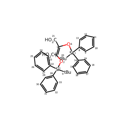 CC(C)(C)[Si](OC(C(=O)O)=C(O[Si](c1ccccc1)(c1ccccc1)C(C)(C)C)C(=O)O)(c1ccccc1)c1ccccc1